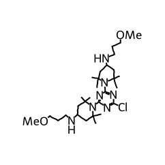 COCCCNC1CC(C)(C)N(c2nc(Cl)nc(N3C(C)(C)CC(NCCCOC)CC3(C)C)n2)C(C)(C)C1